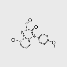 COc1ccc(-n2c(=O)c(C=O)nc3c(Cl)cccc32)cc1